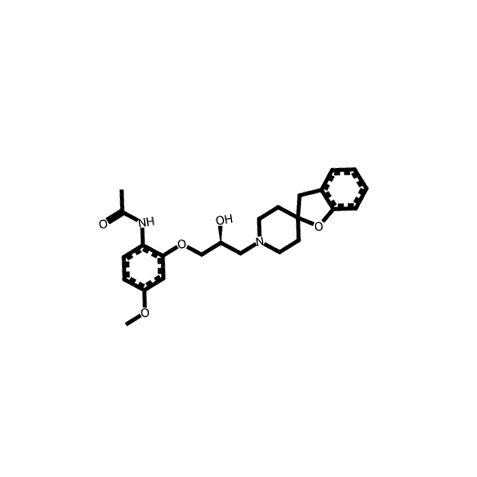 COc1ccc(NC(C)=O)c(OC[C@@H](O)CN2CCC3(CC2)Cc2ccccc2O3)c1